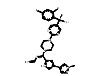 Cn1cc(-c2c[nH]c(/C(=N\C=N)N3CCN(c4ncc([C@@](C)(O)c5ccc(F)cc5F)cn4)CC3)c2)cn1